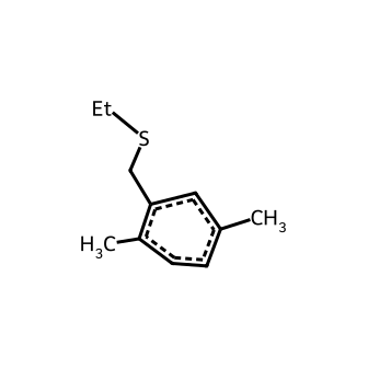 CCSCc1cc(C)ccc1C